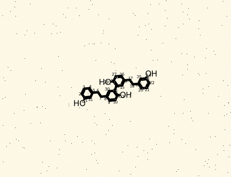 Oc1cccc(CCc2ccc(O)c(-c3cc(CCc4cccc(O)c4)ccc3O)c2)c1